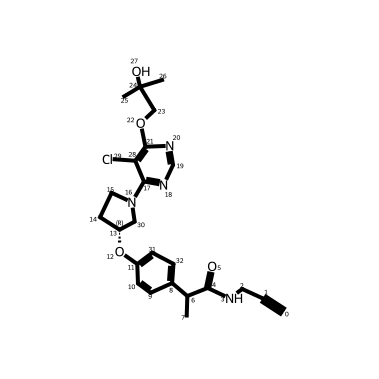 C#CCNC(=O)C(C)c1ccc(O[C@@H]2CCN(c3ncnc(OCC(C)(C)O)c3Cl)C2)cc1